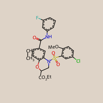 CC.CCOC(=O)C1CN(S(=O)(=O)c2cc(Cl)ccc2OC)c2cc(C(=O)Nc3cccc(F)c3)ccc2O1